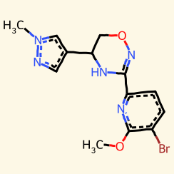 COc1nc(C2=NOCC(c3cnn(C)c3)N2)ccc1Br